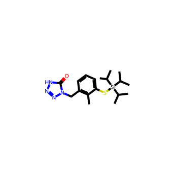 Cc1c(Cn2nn[nH]c2=O)cccc1S[Si](C(C)C)(C(C)C)C(C)C